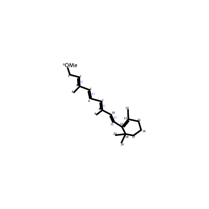 COC/C=C(C)/C=C/C=C(C)/C=C/C1=C(C)CCCC1(C)C